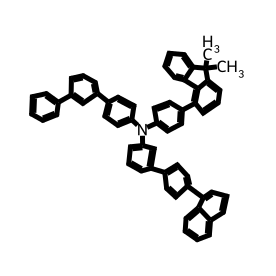 CC1(C)c2ccccc2-c2c(-c3ccc(N(c4ccc(-c5cccc(-c6ccccc6)c5)cc4)c4cccc(-c5ccc(-c6cccc7ccccc67)cc5)c4)cc3)cccc21